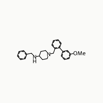 COc1cccc(-c2ccccc2CN2CCC(NCc3ccccc3)CC2)c1